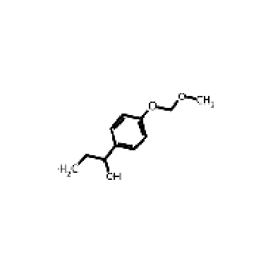 [CH2]CC(O)c1ccc(OCOC)cc1